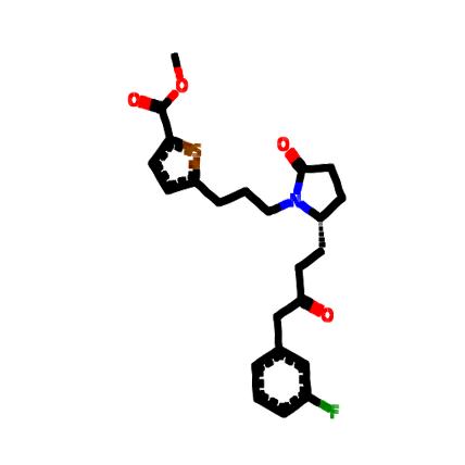 COC(=O)c1ccc(CCCN2C(=O)CC[C@@H]2CCC(=O)Cc2cccc(F)c2)s1